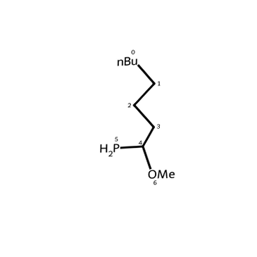 CCCCCCCC(P)OC